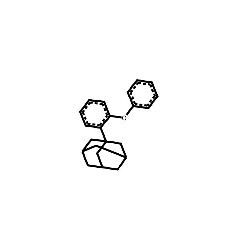 [c]1ccccc1Oc1ccccc1C12CC3CC(CC(C3)C1)C2